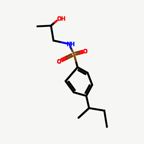 CCC(C)c1ccc(S(=O)(=O)NCC(C)O)cc1